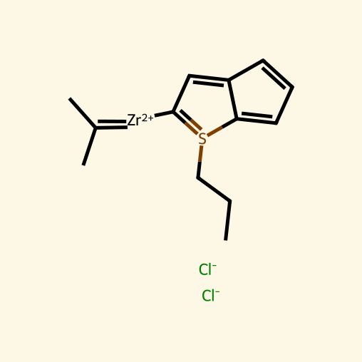 CCCS1=[C]([Zr+2]=[C](C)C)C=C2C=CC=C21.[Cl-].[Cl-]